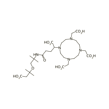 CC(C)(COC(C)(C)CC(=O)O)NC(=O)CCC(C(=O)O)N1CCN(CC(=O)O)CCN(CC(=O)O)CCN(CC(=O)O)CC1